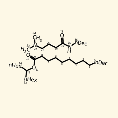 CCCCCCCCCCCCCCCCCCC(=O)OC(CCCCCC)CCCCCC.CCCCCCCCCCNC(=O)CCCN(C)C